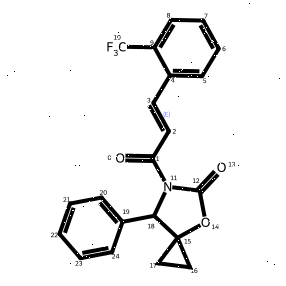 O=C(/C=C/c1ccccc1C(F)(F)F)N1C(=O)OC2(CC2)C1c1ccccc1